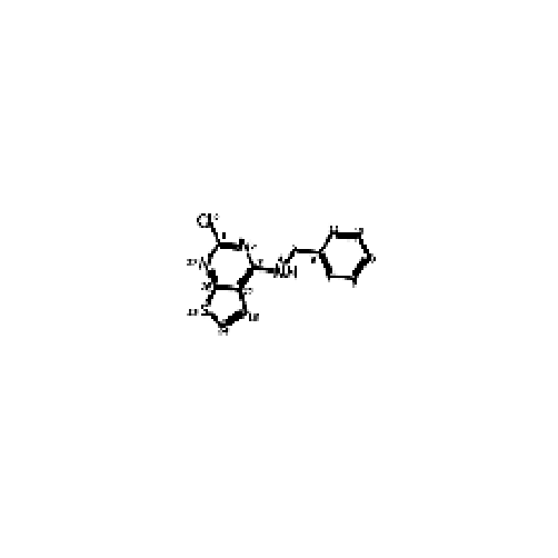 Clc1nc(NCc2ccccc2)c2ccsc2n1